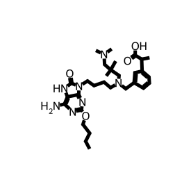 CCCCOc1nc(N)c2[nH]c(=O)n(CCCCN(Cc3cccc(C(C)C(=O)O)c3)CC(C)(C)CN(C)C)c2n1